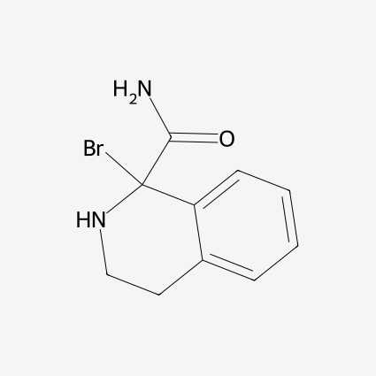 NC(=O)C1(Br)NCCc2ccccc21